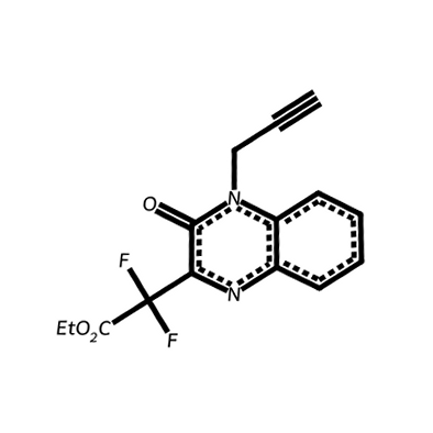 C#CCn1c(=O)c(C(F)(F)C(=O)OCC)nc2ccccc21